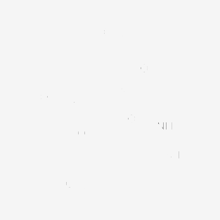 CCOC(=O)C(CC)C(=O)ONS